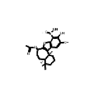 CC(=O)OC1CC[C@@H]2C(C)(C)CCC[C@@]2(C)c2c1oc1c(B(O)O)c(O)c(O)cc21